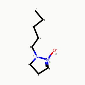 CCCCCN1CCC=[N+]1[O-]